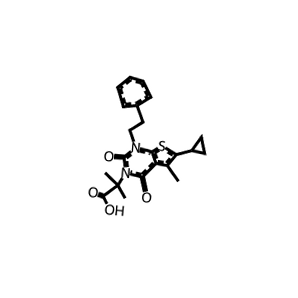 Cc1c(C2CC2)sc2c1c(=O)n(C(C)(C)C(=O)O)c(=O)n2CCc1ccccc1